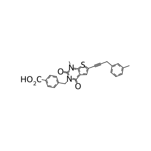 Cc1cccc(CC#Cc2cc3c(=O)n(Cc4ccc(C(=O)O)cc4)c(=O)n(C)c3s2)c1